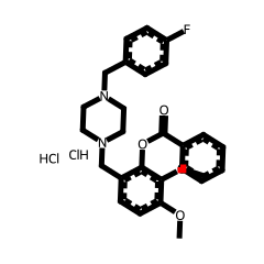 COc1ccc(CN2CCN(Cc3ccc(F)cc3)CC2)c(OC(=O)c2ccccc2)c1OC.Cl.Cl